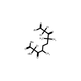 CCCCC(CC)(C(=O)C(C)CCC(C)(C)C(=O)C(CC)(CC)C(=O)C(C)C)C(=O)C(C)(C)C